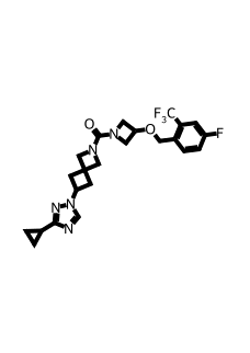 O=C(N1CC(OCc2ccc(F)cc2C(F)(F)F)C1)N1CC2(CC(n3cnc(C4CC4)n3)C2)C1